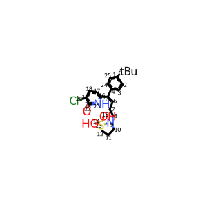 CC(C)(C)c1ccc(/C(=C/CCN2CCCS2(O)O)c2ccc(Cl)c(=O)[nH]2)cc1